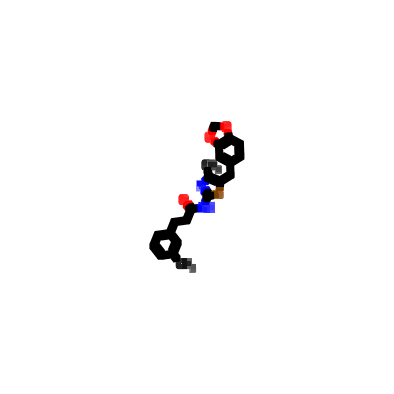 Cc1cccc(CCC(=O)Nc2nc(C)c(Cc3ccc4c(c3)OCO4)s2)c1